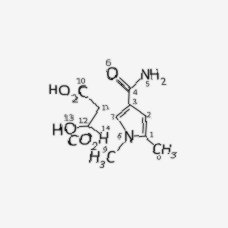 Cc1cc(C(N)=O)cn1C.O=C(O)CC(O)C(=O)O